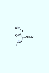 C/C=C/C(NC(C)=O)C(=O)OCCC